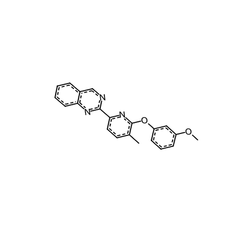 COc1cccc(Oc2nc(-c3ncc4ccccc4n3)ccc2C)c1